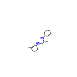 CC1=CC(NCC(C)NC2C=C(C)CCC2)CCC1